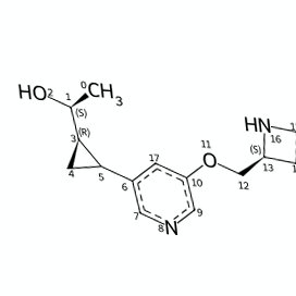 C[C@H](O)[C@@H]1CC1c1cncc(OC[C@@H]2CCN2)c1